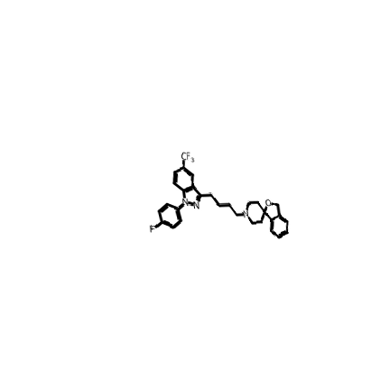 Fc1ccc(-n2nc(CCCCN3CCC4(CC3)OCc3ccccc34)c3cc(C(F)(F)F)ccc32)cc1